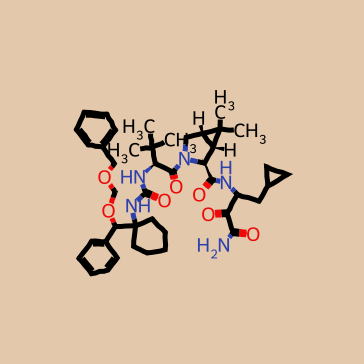 CC(C)(C)[C@H](NC(=O)NC1(C(OCOCc2ccccc2)c2ccccc2)CCCCC1)C(=O)N1C[C@H]2[C@@H]([C@H]1C(=O)NC(CC1CC1)C(=O)C(N)=O)C2(C)C